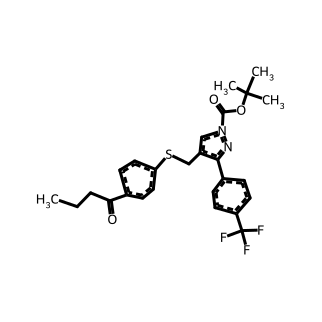 CCCC(=O)c1ccc(SCc2cn(C(=O)OC(C)(C)C)nc2-c2ccc(C(F)(F)F)cc2)cc1